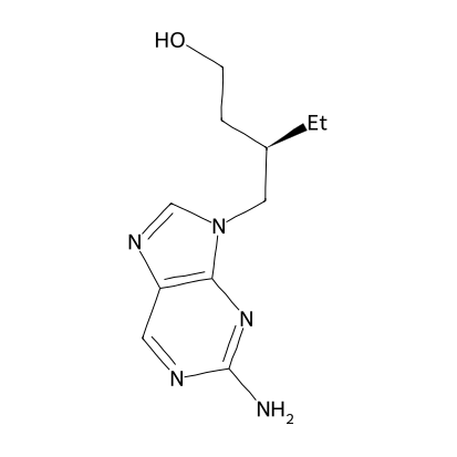 CC[C@H](CCO)Cn1cnc2cnc(N)nc21